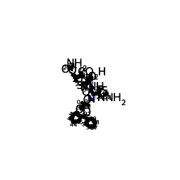 CC(C)(O/N=C(\C(=O)N[C@@H]1C(=O)N2C(C(=O)O)=C(COC(N)=O)CS[C@H]12)c1csc(N)n1)C(=O)OC(c1ccccc1)c1ccccc1